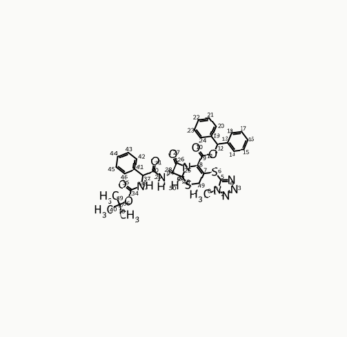 Cn1nnnc1SC1=C(C(=O)OC(c2ccccc2)c2ccccc2)N2C(=O)[C@@H](NC(=O)C(NC(=O)OC(C)(C)C)c3ccccc3)[C@@H]2SC1